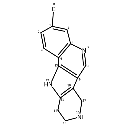 Clc1ccc2c(c1)ncc1c3c([nH]c12)CCNC3